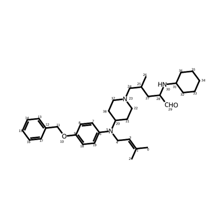 CC(C)=CCN(c1ccc(OCc2ccccc2)cc1)C1CCN(CC(C)CC(C=O)NC2CCCCC2)CC1